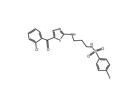 O=C(c1cnc(NCCCNS(=O)(=O)c2ccc(F)cc2)s1)c1ccccc1Cl